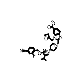 COC(=O)c1ccc2nc(CN3CCC(n4cc(C(C)C)c(OCc5ccc(C#N)cc5F)n4)CC3)n(CC3CCO3)c2c1